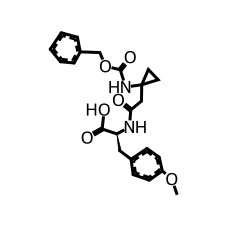 COc1ccc(C[C@H](NC(=O)CC2(NC(=O)OCc3ccccc3)CC2)C(=O)O)cc1